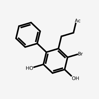 CC(=O)CCc1c(Br)c(O)cc(O)c1-c1ccccc1